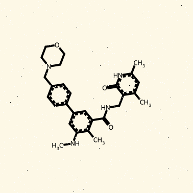 CNc1cc(-c2ccc(CN3CCOCC3)cc2)cc(C(=O)NCc2c(C)cc(C)[nH]c2=O)c1C